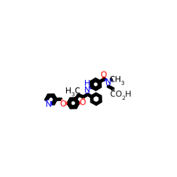 CC1c2cc(OCc3cccnc3)ccc2OC1C(Nc1ccc(C(=O)N(C)CCC(=O)O)cc1)C1CCCCC1